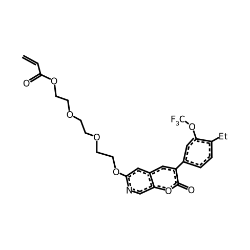 C=CC(=O)OCCOCCOCCOc1cc2cc(-c3ccc(CC)c(OC(F)(F)F)c3)c(=O)oc2cn1